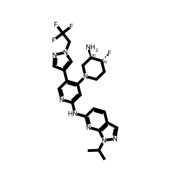 CC(C)n1ncc2ccc(Nc3cc(N4CC[C@@H](F)[C@H](N)C4)c(-c4cnn(CC(F)(F)F)c4)cn3)nc21